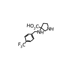 O=C(O)C1(NCc2ccc(C(F)(F)F)cc2)CCNC1